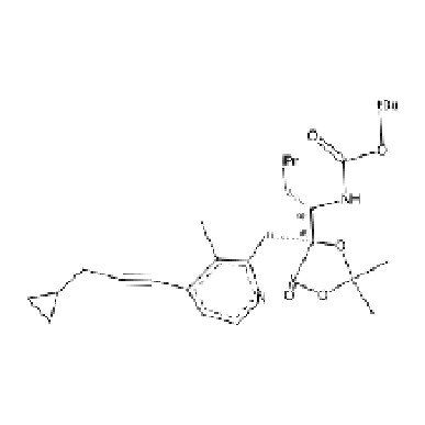 Cc1c(C#CCC2CC2)ccnc1C[C@]1([C@H](CC(C)C)NC(=O)OC(C)(C)C)OC(C)(C)OC1=O